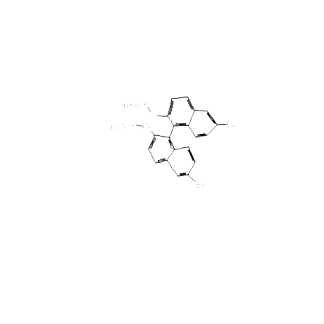 CCCCCCOc1ccc2cc(Br)ccc2c1-c1c(OCCCCCC)ccc2cc(Br)ccc12